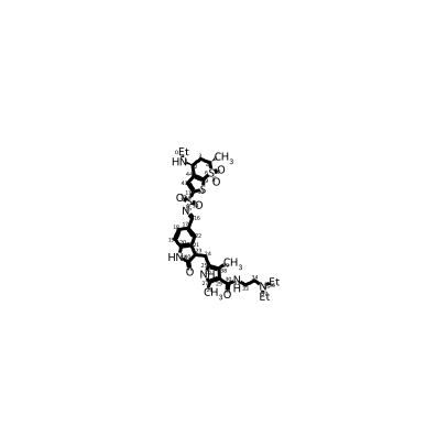 CCN[C@H]1C[C@H](C)S(=O)(=O)c2sc(S(=O)(=O)/N=C/c3ccc4c(c3)C(Cc3[nH]c(C)c(C(=O)NCCN(CC)CC)c3C)C(=O)N4)cc21